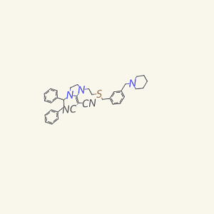 N#CC(C#N)=C1N(CCSCc2cccc(CN3CCCCC3)c2)CCN1C(Cc1ccccc1)c1ccccc1